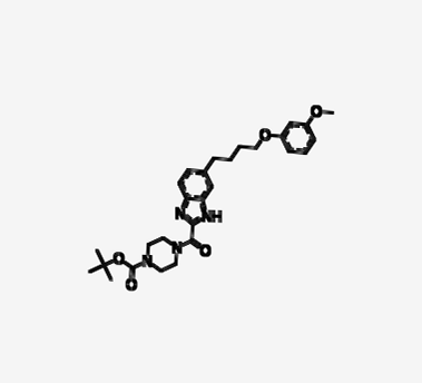 COc1cccc(OCCCCc2ccc3nc(C(=O)N4CCN(C(=O)OC(C)(C)C)CC4)[nH]c3c2)c1